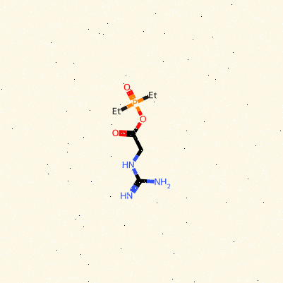 CCP(=O)(CC)OC(=O)CNC(=N)N